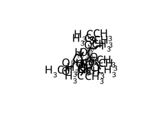 COC(=O)C[C@H]1CC[C@@H]2O[C@@H]([C@H](C=CI)O[Si](C)(C)C(C)(C)C)[C@@H](O[Si](C)(C)C(C)(C)C)[C@@H](O[Si](C)(C)C(C)(C)C)[C@H]2O1